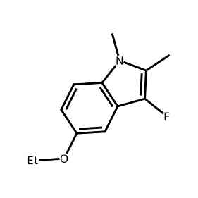 CCOc1ccc2c(c1)c(F)c(C)n2C